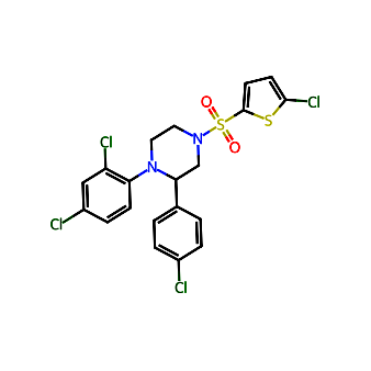 O=S(=O)(c1ccc(Cl)s1)N1CCN(c2ccc(Cl)cc2Cl)C(c2ccc(Cl)cc2)C1